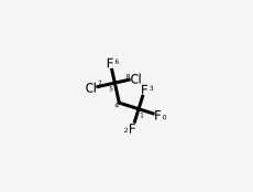 FC(F)(F)CC(F)(Cl)Cl